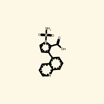 NS(=O)(=O)n1ccc(-c2cccc3ncccc23)c1C(=O)O